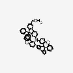 C=Cc1ccc2c(c1)-c1ccc(N(c3ccc4c(c3)C3(c5ccccc5O4)c4ccccc4-c4ccccc43)c3cccc4oc5ccccc5c34)cc1C2(c1ccccc1)c1ccccc1